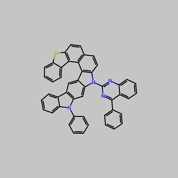 c1ccc(-c2nc(-n3c4cc5c(cc4c4c6c(ccc7sc8ccccc8c76)ccc43)c3ccccc3n5-c3ccccc3)nc3ccccc23)cc1